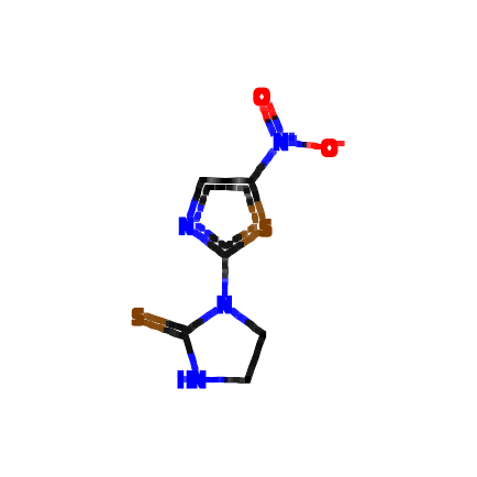 O=[N+]([O-])c1cnc(N2CCNC2=S)s1